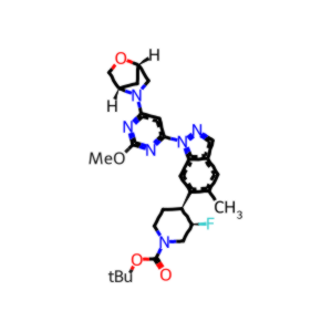 COc1nc(N2C[C@@H]3C[C@H]2CO3)cc(-n2ncc3cc(C)c([C@@H]4CCN(C(=O)OC(C)(C)C)C[C@@H]4F)cc32)n1